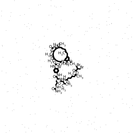 COc1cc2cc(c1Cl)N(C)C(=O)C[C@H](OC(=O)Nc1ccc(NC(=O)[C@H](CCCNC(N)=O)NC(=O)[C@@H](NC(=O)CCCCC(C)(C)OC(=O)C(CBr)CBr)C(C)C)cc1Br)[C@]1(C)O[C@H]1[C@H](C)[C@@H]1C[C@@](O)(NC(=O)O1)[C@H](OC)/C=C/C=C(\C)C2